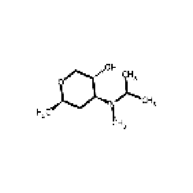 CC(C)N(C)[C@H]1C[C@@H](C)OC[C@@H]1O